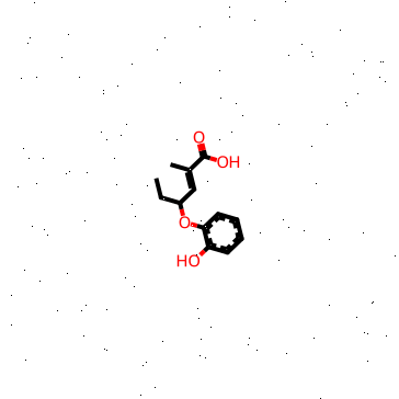 CCC(C=C(C)C(=O)O)Oc1ccccc1O